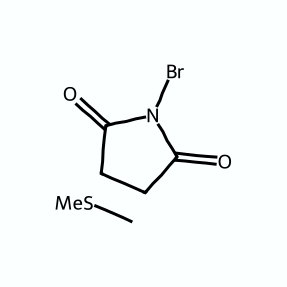 CSC.O=C1CCC(=O)N1Br